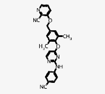 Cc1cc(COc2cccnc2C#N)cc(C)c1Oc1ccnc(Nc2ccc(C#N)cc2)n1